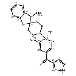 C=C(C1=CN[C@](Cl)(N2CCC3(CC2)Cc2ccccc2C3N)C(Cl)=C1)c1cc[nH]n1